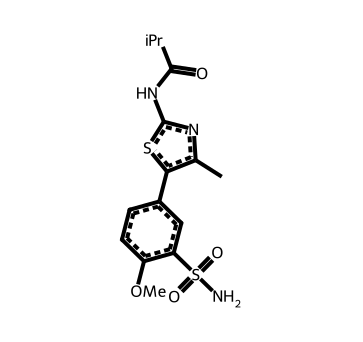 COc1ccc(-c2sc(NC(=O)C(C)C)nc2C)cc1S(N)(=O)=O